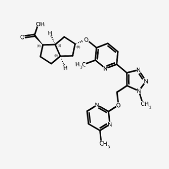 Cc1ccnc(OCc2c(-c3ccc(O[C@@H]4C[C@H]5CC[C@@H](C(=O)O)[C@H]5C4)c(C)n3)nnn2C)n1